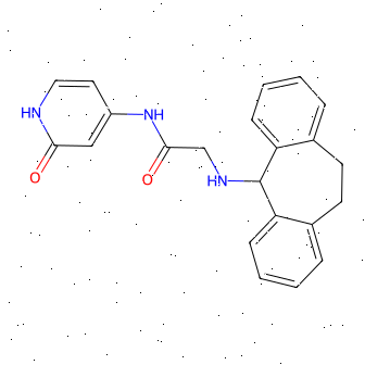 O=C(CNC1c2ccccc2CCc2ccccc21)Nc1cc[nH]c(=O)c1